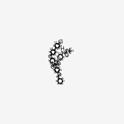 CC(C)(C)OC(=O)NC1CCN(C(=O)[C@@H]2C[C@H](Oc3ccc(-c4ccc(Cl)cc4)cc3)CCN2S(=O)(=O)c2ccc(OCC3CCCCC3)cc2)CC1